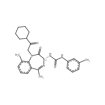 CC1=N[C@@H](NC(=O)Nc2cccc(C)c2)C(=O)N(CC(=O)C2CCCCC2)c2c(C)cccc21